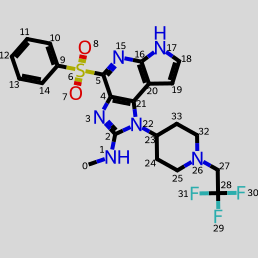 CNc1nc2c(S(=O)(=O)c3ccccc3)nc3[nH]ccc3c2n1C1CCN(CC(F)(F)F)CC1